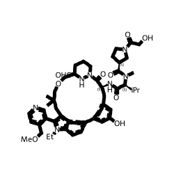 CCn1c(-c2cnccc2COC)c2c3cc(ccc31)-c1cc(O)cc(c1)C[C@H](NC(=O)[C@H](C(C)C)N(C)C(=O)[C@H]1CCN(C(=O)CO)C1)C(=O)N1CCCC(C=O)(COCC(C)(C)C2)N1